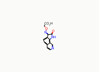 O=C(O)CON=C1C(=O)Nc2c1ccc1ccncc21